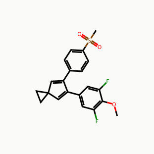 COc1c(F)cc(C2=CC3(C=C2c2ccc(S(C)(=O)=O)cc2)CC3)cc1F